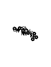 Cc1ccc2c(cnn2C2CCCCO2)c1-c1cc2ncnc3c2c(c1Cl)OCC[C@@H]1CN(C(=O)C2C[N@@]2C(c2ccccc2)(c2ccccc2)c2ccccc2)CCN31